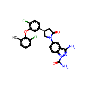 N#Cc1cccc(Cl)c1Oc1cc([C@H]2CC(=O)N(c3ccc4c(c3)c(N)nn4C(N)=O)C2)ccc1Cl